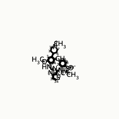 COc1cc(C2CCN(C)CC2)c(C)cc1Nc1nc(Nc2ccccc2[S+]([O-])C(C)C)c2sccc2n1